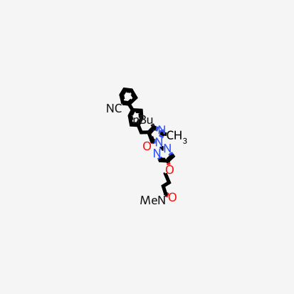 CCCCc1nc(C)n(-c2ncc(OCCCC(=O)NC)cn2)c(=O)c1Cc1ccc(-c2ccccc2C#N)cc1